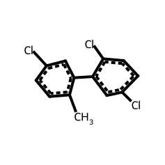 Cc1ccc(Cl)cc1-c1cc(Cl)ccc1Cl